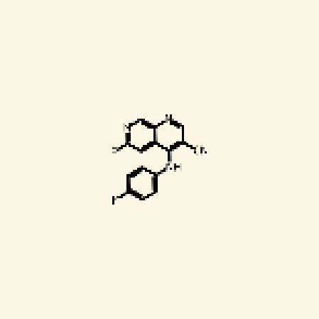 N#Cc1cnc2cnc(F)cc2c1Nc1ccc(F)cc1